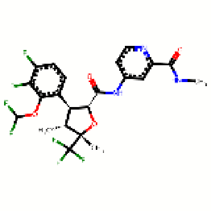 CNC(=O)c1cc(NC(=O)[C@@H]2O[C@](C)(C(F)(F)F)[C@H](C)[C@H]2c2ccc(F)c(F)c2OC(F)F)ccn1